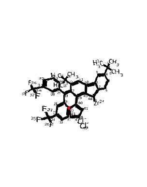 CC(C)(C)c1ccc2c(c1)=c1cc(C(C)(C)C)c(=C(c3cccc(C(F)(F)F)c3)c3cccc(C(F)(F)F)c3)c(C3=CC=CC3)c1[C]=2[Zr+2].[Cl-].[Cl-]